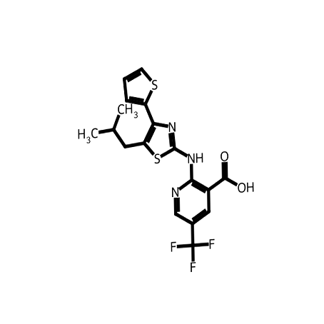 CC(C)Cc1sc(Nc2ncc(C(F)(F)F)cc2C(=O)O)nc1-c1cccs1